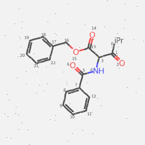 CC(C)C(=O)C(NC(=O)c1ccccc1)C(=O)OCc1ccccc1